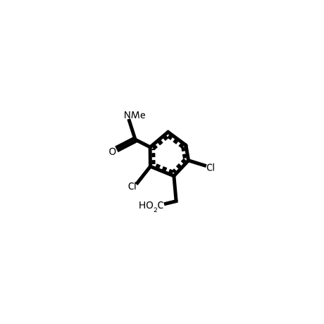 CNC(=O)c1ccc(Cl)c(CC(=O)O)c1Cl